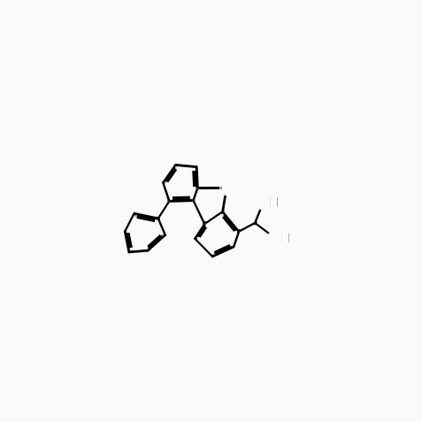 CC(C)c1cccc2c1oc1cccc(-c3ccccc3)c12